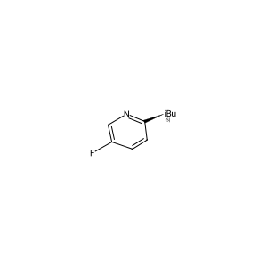 CC[C@H](C)c1ccc(F)cn1